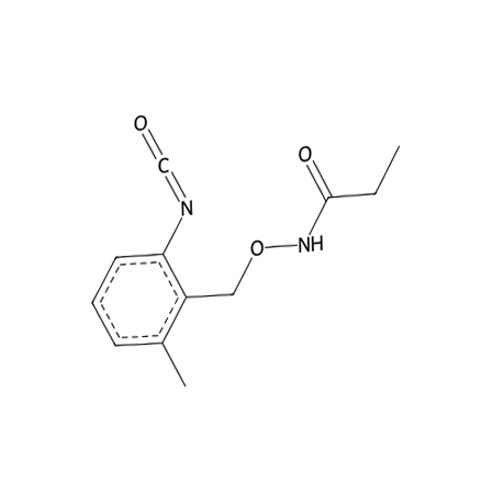 CCC(=O)NOCc1c(C)cccc1N=C=O